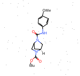 COc1ccc(NC(=O)N2C[C@@H]3CC2CN3C(=O)OC(C)(C)C)cc1